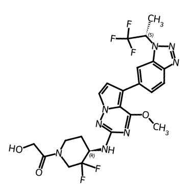 COc1nc(N[C@@H]2CCN(C(=O)CO)CC2(F)F)nn2ccc(-c3ccc4nnn([C@@H](C)C(F)(F)F)c4c3)c12